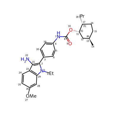 CCn1c(-c2ccc(NC(=O)O[C@H]3C[C@H](C)CC[C@H]3C(C)C)cc2)c(N)c2ccc(OC)cc21